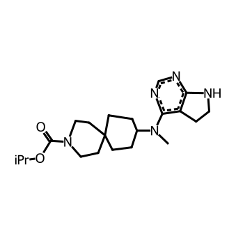 CC(C)OC(=O)N1CCC2(CCC(N(C)c3ncnc4c3CCN4)CC2)CC1